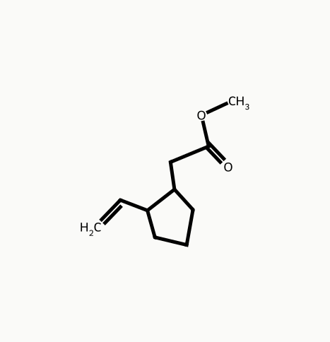 C=CC1CCCC1CC(=O)OC